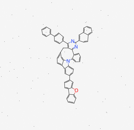 c1ccc(-c2ccc(-c3nc(-c4ccc5ccccc5c4)nc4c3Cc3ccc5c6cc(-c7ccc8c(c7)oc7ccccc78)ccc6n(c5c3)-c3ccccc3-4)cc2)cc1